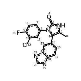 Cc1[nH]c(=O)n(-c2ccc(F)c(Cl)c2)c1-c1ccc2ncnn2c1